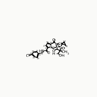 CC(CO)(CO)S(=O)(=O)C1(CN2CCn3c(C(=O)NCc4ccc(Cl)cc4)ccc3C2=O)CC1